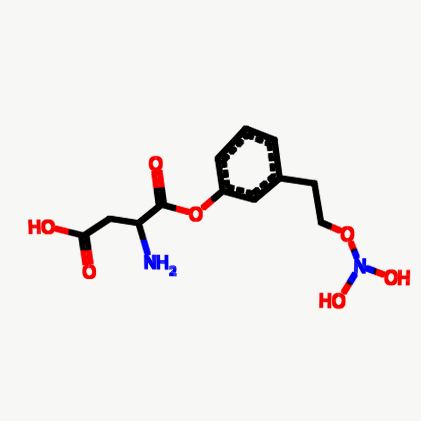 NC(CC(=O)O)C(=O)Oc1cccc(CCON(O)O)c1